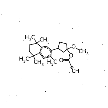 C#CC(=O)OC1(OC)CCC(c2cc3c(cc2C)C(C)(C)CCC3(C)C)C1